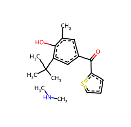 CNC.Cc1cc(C(=O)c2cccs2)cc(C(C)(C)C)c1O